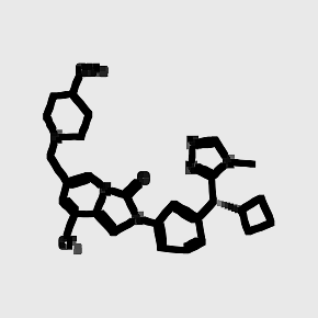 COC1CCN(Cc2cc(C(F)(F)F)c3cn(-c4cccc([C@H](c5nncn5C)C5CCC5)c4)c(=O)n3c2)CC1